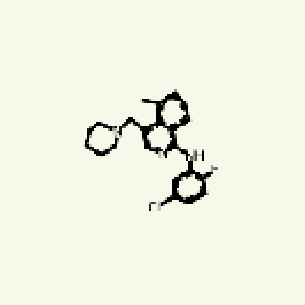 Cc1cccc2c(Nc3cc(Cl)ccc3F)ncc(CN3CCCCC3)c12